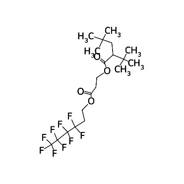 CC(C)(C)CC(C(=O)OCCC(=O)OCCC(F)(F)C(F)(F)C(F)(F)C(F)(F)F)C(C)(C)C